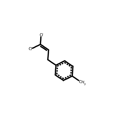 Cc1[c]cc(CC=C(Cl)Cl)cc1